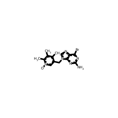 Cc1c(Cn2cnc3c(Br)nc(N)nc32)c[n+]([O-])c(C)c1C